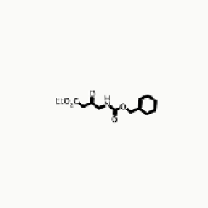 CCOC(=O)CC(=O)CNC(=O)OCC1=CCCCC1